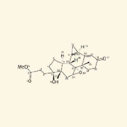 COC(=O)CC[C@]1(O)CC[C@H]2[C@@H]3[C@H]4C[C@H]4C4=CC(=O)CC[C@]4(C)[C@]34OC4C[C@@]21C